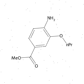 CCCOc1cc(C(=O)OC)ccc1N